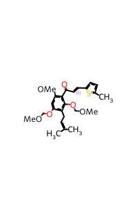 COCOc1cc(OC)c(C(=O)/C=C/c2ccc(C)s2)c(OCOC)c1CC=C(C)C